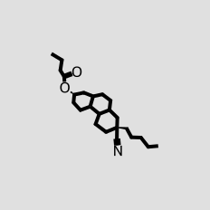 CCCCC[C@@]1(C#N)CCC2C(CCC3C[C@@H](OC(=O)CCC)CCC32)C1